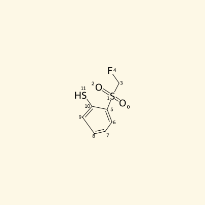 O=S(=O)(CF)c1ccccc1S